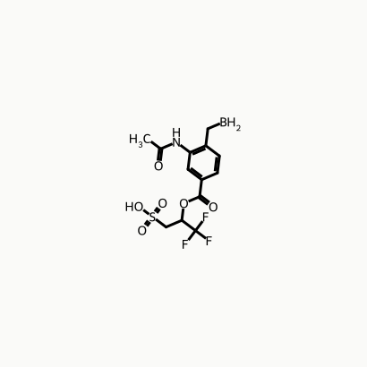 BCc1ccc(C(=O)OC(CS(=O)(=O)O)C(F)(F)F)cc1NC(C)=O